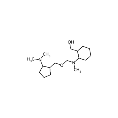 CN(C)C1CCCC1COCN(C)C1CCCCC1CO